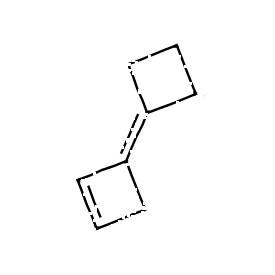 C1=CC(=C2CCC2)C1